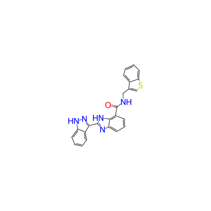 O=C(NCc1csc2ccccc12)c1cccc2nc(-c3n[nH]c4ccccc34)[nH]c12